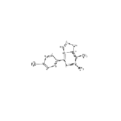 Cc1c(N)cc(-c2ccc(C(F)(F)F)cc2)c2ncoc12